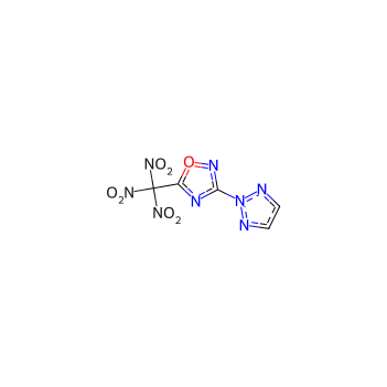 O=[N+]([O-])C(c1nc(-n2nccn2)no1)([N+](=O)[O-])[N+](=O)[O-]